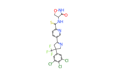 O=C1NOCC1NC(=S)c1ccc(C2=NCC(c3cc(Cl)c(Cl)c(Cl)c3)(C(F)(F)F)C2)cn1